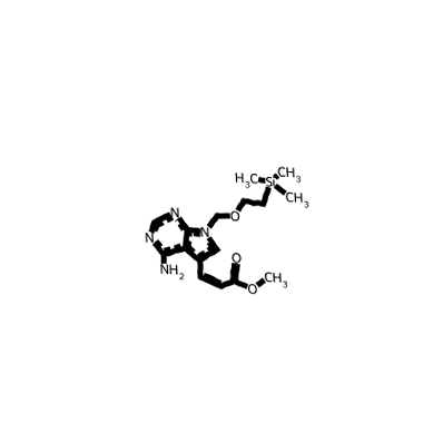 COC(=O)/C=C\c1cn(COCC[Si](C)(C)C)c2ncnc(N)c12